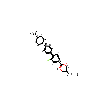 CCCCCC1COC(c2ccc(-c3ccc([C@H]4CC[C@H](CCCC)CC4)cc3)c(F)c2)OC1